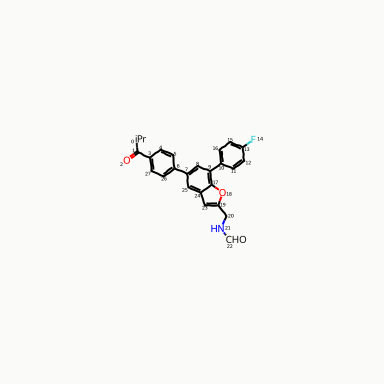 CC(C)C(=O)c1ccc(-c2cc(-c3ccc(F)cc3)c3oc(CNC=O)cc3c2)cc1